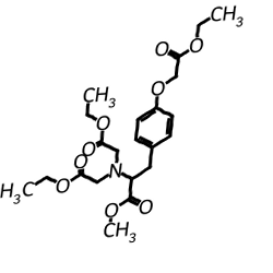 CCOC(=O)COc1ccc(CC(C(=O)OC)N(CC(=O)OCC)CC(=O)OCC)cc1